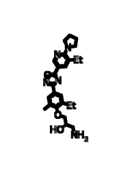 CCc1cc(-c2nc(-c3cc(C)c(OC[C@H](O)CN)c(CC)c3)no2)cnc1N1CCCC1